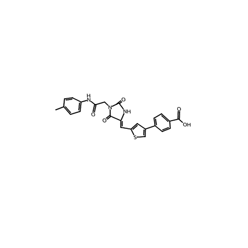 Cc1ccc(NC(=O)CN2C(=O)N/C(=C\c3cc(-c4ccc(C(=O)O)cc4)cs3)C2=O)cc1